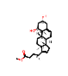 COC(=O)CC[C@@H](C)C1=CC[C@H]2[C@@H]3CC=C4C[C@@H](O)C[C@H](O)[C@]4(C)[C@H]3CC[C@]12C